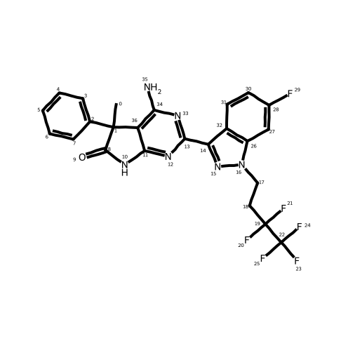 CC1(c2ccccc2)C(=O)Nc2nc(-c3nn(CCC(F)(F)C(F)(F)F)c4cc(F)ccc34)nc(N)c21